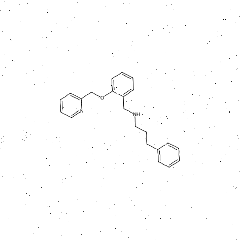 c1ccc(CCCNCc2ccccc2OCc2ccccn2)cc1